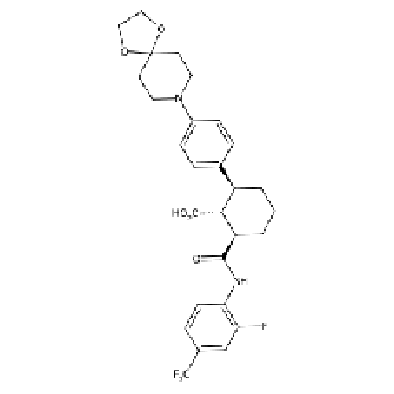 O=C(O)[C@@H]1[C@@H](c2ccc(N3CCC4(CC3)OCCO4)cc2)CCC[C@H]1C(=O)Nc1ccc(C(F)(F)F)cc1F